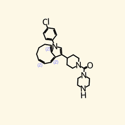 O=C(N1CCNCC1)N1CCC(c2cn(-c3ccc(Cl)cc3)c3/c2=C\C=C/CCC/C=3)CC1